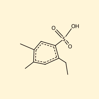 CCc1cc(C)c(C)cc1S(=O)(=O)O